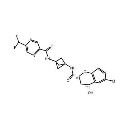 O=C(NC12CC(NC(=O)[C@H]3C[C@@H](O)c4cc(Cl)ccc4O3)(C1)C2)c1cnc(C(F)F)cn1